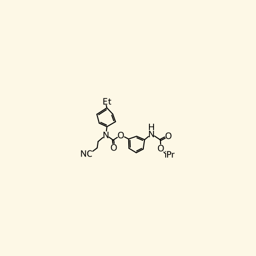 CCc1ccc(N(CCC#N)C(=O)Oc2cccc(NC(=O)OC(C)C)c2)cc1